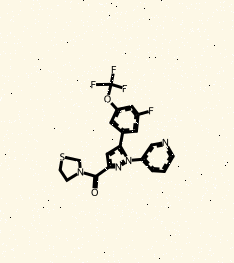 O=C(c1cc(-c2cc(F)cc(OC(F)(F)F)c2)n(-c2cccnc2)n1)N1CCSC1